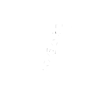 CCCCCCCCOc1ccc(-c2cnc(-c3ccc(C(=O)OC(CC(=O)OCCCC)C(F)(F)F)cc3)nc2)cc1